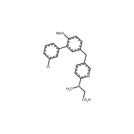 COc1ccc(Cc2ccc(N(C)CC(=O)O)nc2)cc1-c1cccc(Cl)c1